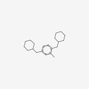 Cc1cc(CC2CCCCC2)ccc1CC1CCCCC1